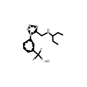 CCC(CC)NCc1nnnn1-c1cccc(C(F)(F)F)c1.Cl